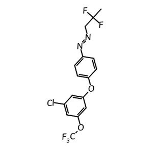 CC(F)(F)C/N=N/c1ccc(Oc2cc(Cl)cc(OC(F)(F)F)c2)cc1